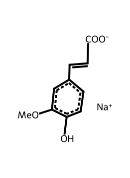 COc1cc(/C=C/C(=O)[O-])ccc1O.[Na+]